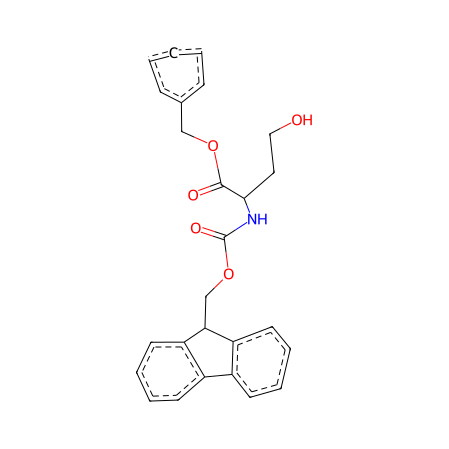 O=C(NC(CCO)C(=O)OCc1ccccc1)OCC1c2ccccc2-c2ccccc21